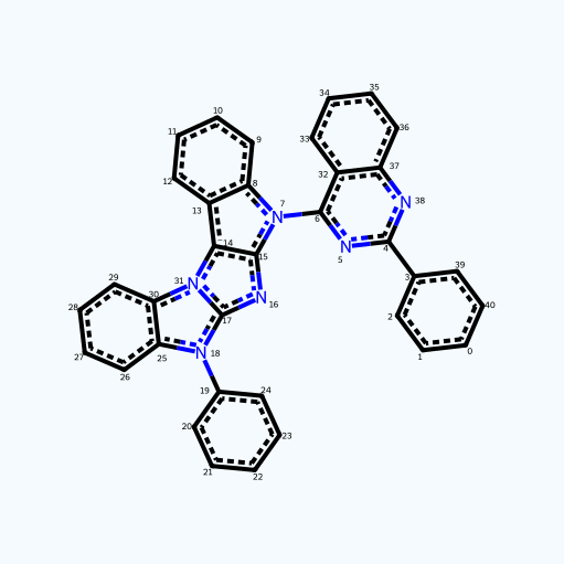 c1ccc(-c2nc(-n3c4ccccc4c4c3nc3n(-c5ccccc5)c5ccccc5n43)c3ccccc3n2)cc1